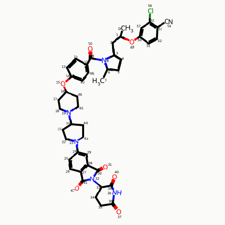 CC(CC1CCC(C)N1C(=O)c1ccc(OC2CCN(C3CCN(c4ccc5c(c4)C(=O)N(C4CCC(=O)NC4=O)C5=O)CC3)CC2)cc1)Oc1ccc(C#N)c(Cl)c1